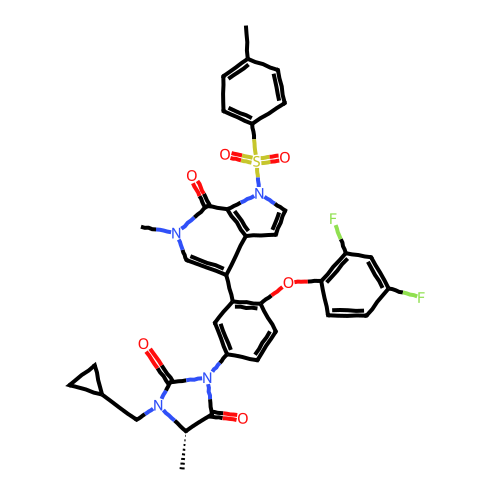 Cc1ccc(S(=O)(=O)n2ccc3c(-c4cc(N5C(=O)[C@H](C)N(CC6CC6)C5=O)ccc4Oc4ccc(F)cc4F)cn(C)c(=O)c32)cc1